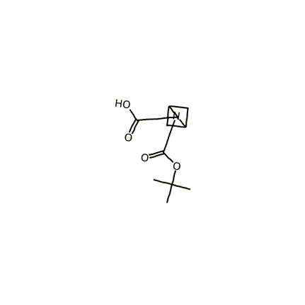 CC(C)(C)OC(=O)N1C2CC(C2)C1C(=O)O